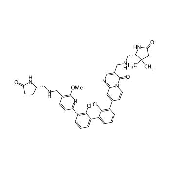 COc1nc(-c2cccc(-c3cccc(-c4ccn5c(=O)c(CNC[C@@H]6NC(=O)CC6(C)C)cnc5c4)c3Cl)c2Cl)ccc1CNC[C@@H]1CCC(=O)N1